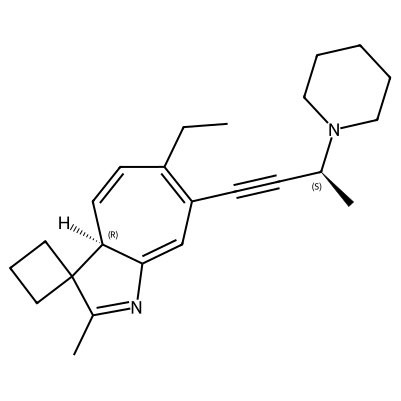 CCC1=C(C#C[C@H](C)N2CCCCC2)C=C2N=C(C)C3(CCC3)[C@H]2C=C1